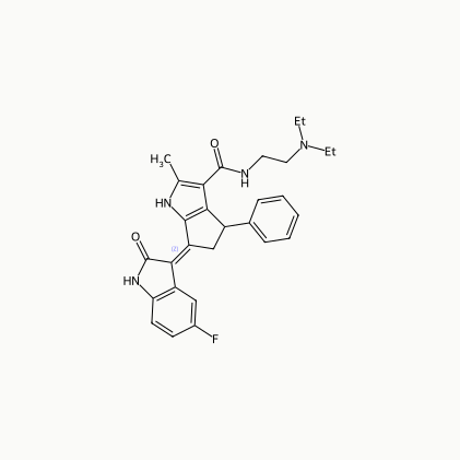 CCN(CC)CCNC(=O)c1c(C)[nH]c2c1C(c1ccccc1)C/C2=C1/C(=O)Nc2ccc(F)cc21